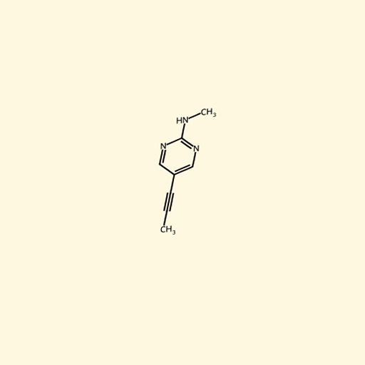 CC#Cc1cnc(NC)nc1